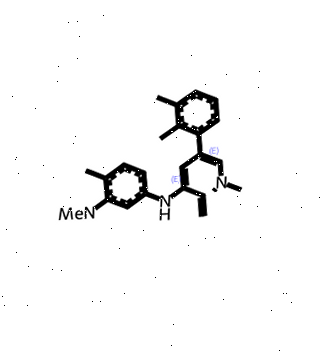 C=C/C(=C\C(=C/N(C)C)c1cccc(C)c1C)Nc1ccc(C)c(NC)c1